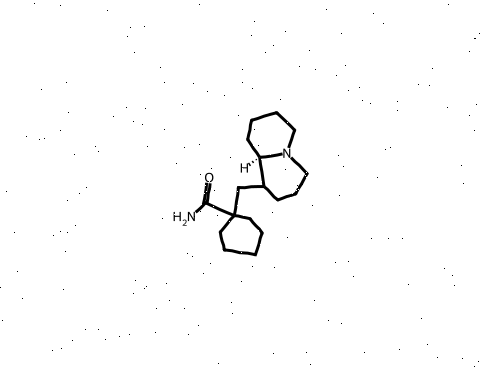 NC(=O)C1(CC2CCCN3CCCC[C@H]23)CCCCC1